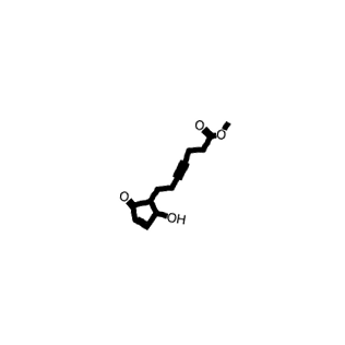 COC(=O)CCC#CCCC1C(=O)C=CC1O